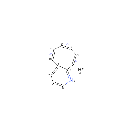 C1=C\C=C/c2ncccc2\C=C/1.[H+]